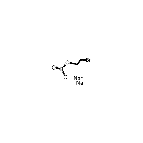 [Na+].[Na+].[O-]B([O-])OCCBr